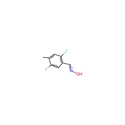 Cc1cc(F)c(/C=N/O)cc1F